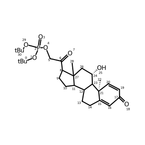 CC(C)(C)OP(=O)(OCC(=O)C1CCC2C3CCC4=CC(=O)C=C[C@]4(C)C3[C@@H](O)CC12C)OC(C)(C)C